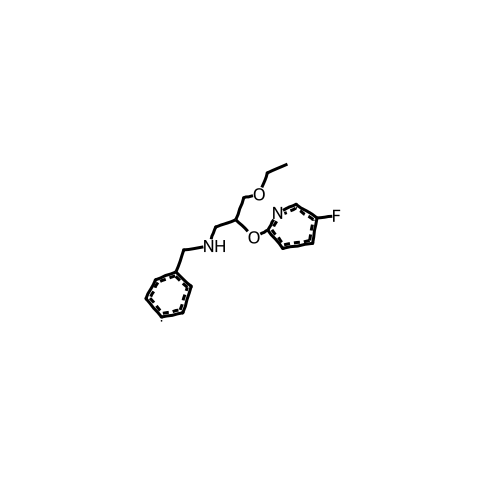 CCOCC(CNCc1cc[c]cc1)Oc1ccc(F)cn1